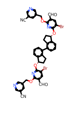 N#Cc1cncc(COc2nc(O[C@H]3CCc4c(-c5cccc6c5CC[C@@H]6Oc5nc(OCc6cncc(C#N)c6)c(C=O)cc5Br)cccc43)c(Br)cc2C=O)c1